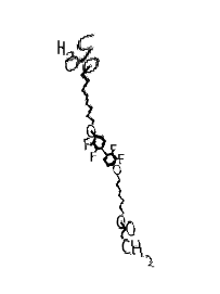 C=CC(=O)OCCCCCCCCOc1ccc(-c2ccc(OCCCCCCCCOC(=O)C=C)c(F)c2F)c(F)c1F